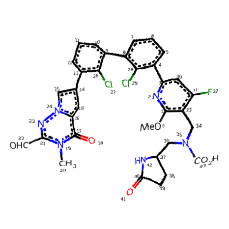 COc1nc(-c2cccc(-c3cccc(-c4cc5c(=O)n(C)c(C=O)nn5c4)c3Cl)c2Cl)cc(F)c1CN(CC1CCC(=O)N1)C(=O)O